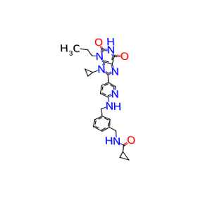 CCCn1c(=O)[nH]c(=O)c2nc(-c3ccc(NCc4cccc(CNC(=O)C5CC5)c4)nc3)n(C3CC3)c21